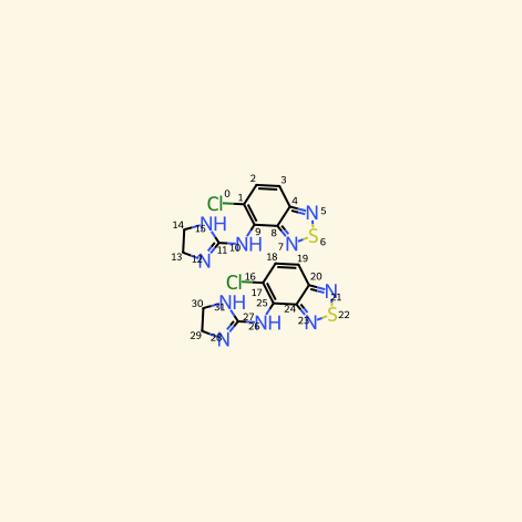 Clc1ccc2nsnc2c1NC1=NCCN1.Clc1ccc2nsnc2c1NC1=NCCN1